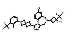 OC1(C(F)(F)F)CC(N2Cc3cc(Cl)ccc3-n3c(nnc3C3CC4(C3)CN(c3cccc(C(F)(F)F)c3F)C4)C2)C1